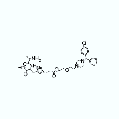 CC(N)C(=O)NC(Cc1cn(CCC(=O)OCCOCCN2CCN(C(c3ccccc3)c3ccc(Cl)cc3)CC2)cn1)C(=O)O